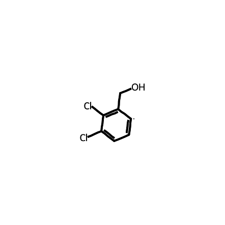 OCc1[c]ccc(Cl)c1Cl